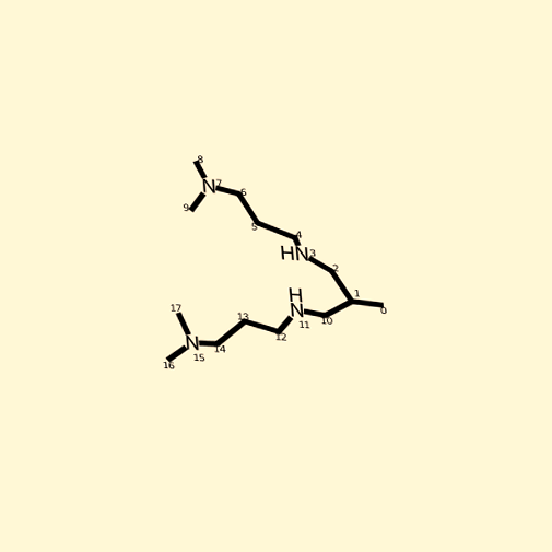 CC(CNCCCN(C)C)CNCCCN(C)C